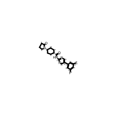 O=C1CCCN1[C@H]1CC[C@@H](C(=O)Nc2ncc(-c3cc(F)cc(F)c3)cn2)CC1